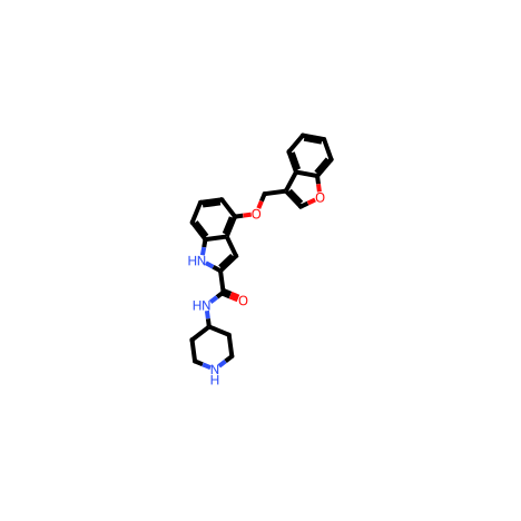 O=C(NC1CCNCC1)c1cc2c(OCc3coc4ccccc34)cccc2[nH]1